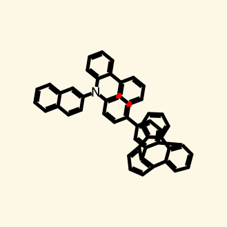 c1ccc(-c2ccccc2N(c2ccc(-c3ccc4c(c3)-c3c5cccc3-c3cccc-4c3-c3ccccc3-5)cc2)c2ccc3ccccc3c2)cc1